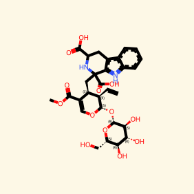 C=C[C@H]1[C@H](O[C@H]2O[C@@H](CO)[C@H](O)[C@@H](O)[C@@H]2O)OC=C(C(=O)OC)[C@H]1CC1(C(=O)O)NC(C(=O)O)Cc2c1[nH]c1ccccc21